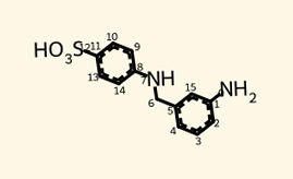 Nc1cccc(CNc2ccc(S(=O)(=O)O)cc2)c1